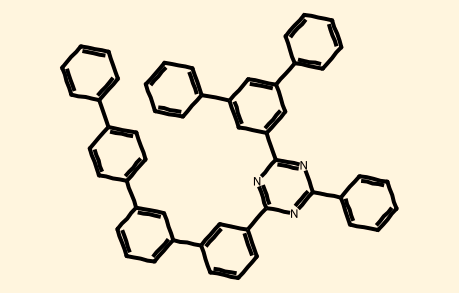 c1ccc(-c2ccc(-c3cccc(-c4cccc(-c5nc(-c6ccccc6)nc(-c6cc(-c7ccccc7)cc(-c7ccccc7)c6)n5)c4)c3)cc2)cc1